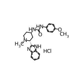 COc1ccc(NC(=O)N[C@@H]2CCN(C)[C@@H](c3nc4ccccc4[nH]3)C2)cc1.Cl